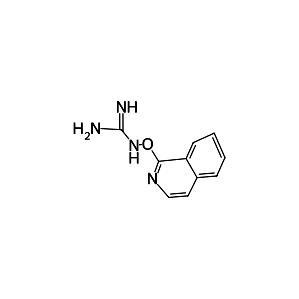 N=C(N)NOc1nccc2ccccc12